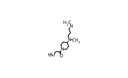 C=NCCCN(C)C1CCN(C(=O)CC(C)(C)C)CC1